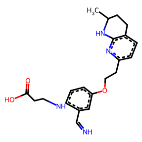 CC1CCc2ccc(CCOc3ccc(NCCC(=O)O)c(C=N)c3)nc2N1